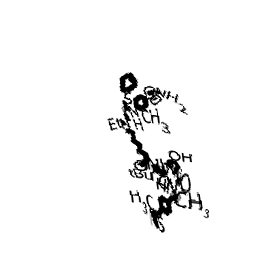 CCN(CCCCCCC(=O)N[C@H](C(=O)N1CC(O)C[C@H]1C(=O)N[C@@H](C)c1ccc(-c2scnc2C)cc1)C(C)(C)C)CC[C@H](CSc1ccccc1)Nc1ccc(S(N)(=O)=O)cc1C